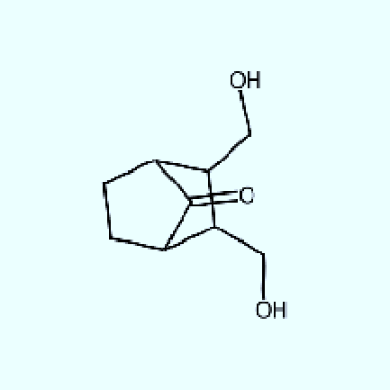 O=C1C2CCC1C(CO)C2CO